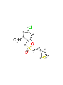 O=[N+]([O-])c1cc(Cl)ccc1CS(=O)(=O)C=Cc1ccsc1